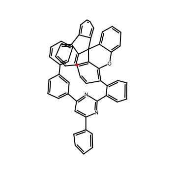 c1ccc(-c2cccc(-c3cc(-c4ccccc4)nc(-c4ccccc4-c4cccc5c4Oc4ccccc4C54c5ccccc5-c5ccccc54)n3)c2)cc1